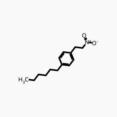 CCCCCCc1ccc(CC[N+](=O)[O-])cc1